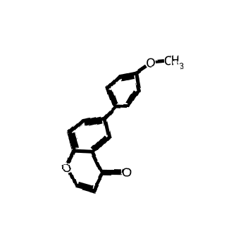 COc1ccc(-c2ccc3occc(=O)c3c2)cc1